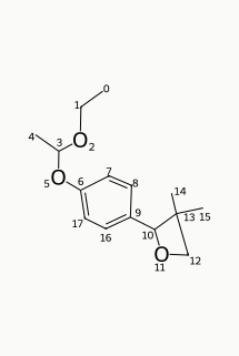 CCOC(C)Oc1ccc(C2OCC2(C)C)cc1